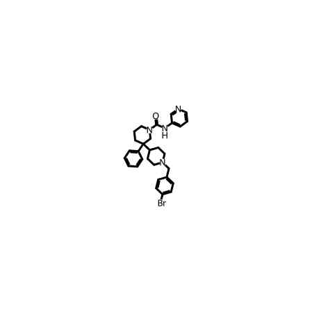 O=C(Nc1cccnc1)N1CCCC(c2ccccc2)(C2CCN(Cc3ccc(Br)cc3)CC2)C1